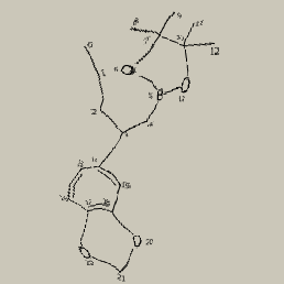 CCCC(CB1OC(C)(C)C(C)(C)O1)c1ccc2c(c1)OCO2